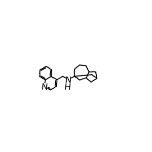 c1ccc2c(CNC34CCCC5CC(CC5C3)C4)ccnc2c1